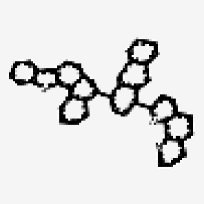 c1ccc2cc3c(-c4cc5ccc6c7ccccc7sc6c5c5ccccc45)ccc(-c4ccc5ccc6cccnc6c5n4)c3cc2c1